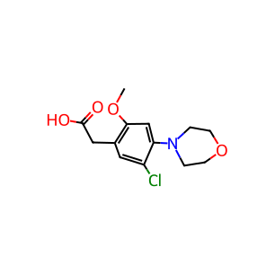 COc1cc(N2CCOCC2)c(Cl)cc1CC(=O)O